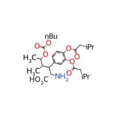 CCCCOC(=O)OC(C)C(C)C(c1ccc(OC(=O)CC(C)C)c(OC(=O)CC(C)C)c1)[C@H](N)C(=O)O